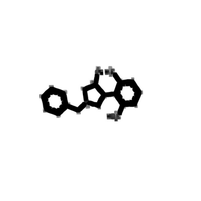 Cc1cccc(C(=O)O)c1C1CN(Cc2ccccc2)CC1C#N